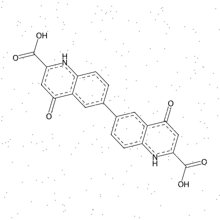 O=C(O)c1cc(=O)c2cc(-c3ccc4[nH]c(C(=O)O)cc(=O)c4c3)ccc2[nH]1